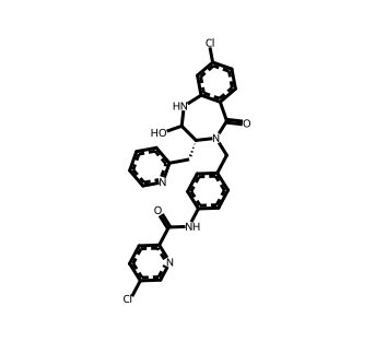 O=C(Nc1ccc(CN2C(=O)c3ccc(Cl)cc3NC(O)[C@H]2Cc2ccccn2)cc1)c1ccc(Cl)cn1